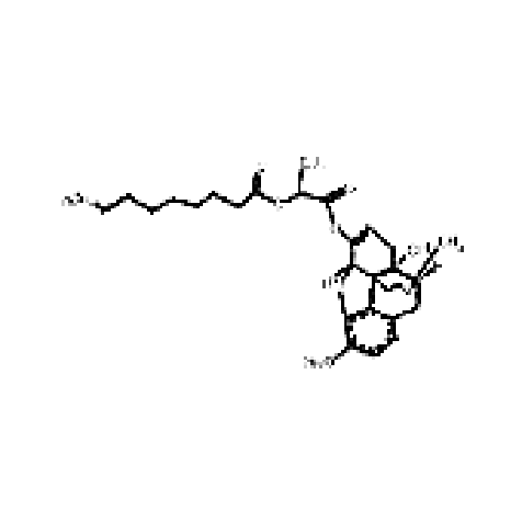 CCCCCCCCCCCCCCCCCC(=O)O[C@@H](C)C(=O)OC1=CC[C@]2(O)[C@@H]3Cc4ccc(OC)c5c4[C@]2(CCN3C)[C@@H]1O5